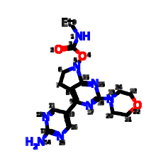 CCNC(=O)ON1CCc2c(-c3cnc(N)nc3)nc(N3CCOCC3)nc21